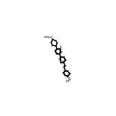 CCCCCC1CCC(c2ccc(-c3ccc(C=Cc4ccc(OCC)cc4)cc3)cc2F)CC1